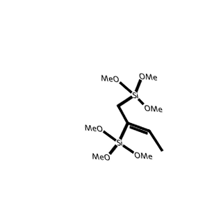 CC=C(C[Si](OC)(OC)OC)[Si](OC)(OC)OC